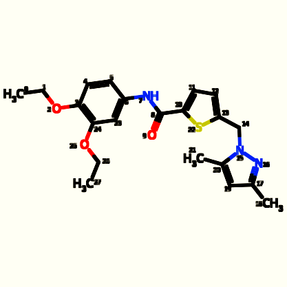 CCOc1ccc(NC(=O)c2ccc(Cn3nc(C)cc3C)s2)cc1OCC